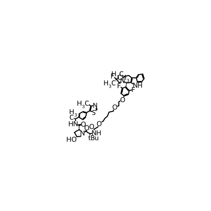 Cc1ncsc1-c1ccc([C@H](C)NC(=O)[C@@H]2C[C@@H](O)CN2C(=O)[C@@H](NC(=O)COCCCCCOCCOc2cc(F)c([C@@H]3c4[nH]c5ccccc5c4C[C@@H](C)N3CC(C)(C)F)c(F)c2)C(C)(C)C)cc1